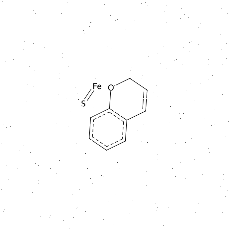 C1=Cc2ccccc2OC1.[S]=[Fe]